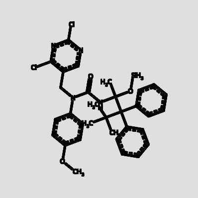 COc1ccc(N(Cc2cnc(Cl)nc2Cl)C(=O)NC(C)(O[SiH3])C(c2ccccc2)(c2ccccc2)C(C)(C)C)cc1